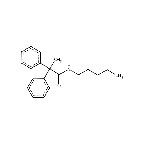 CCCCCNC(=O)C(C)(c1ccccc1)c1ccccc1